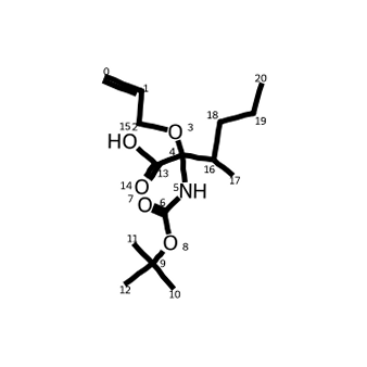 C=CCOC(NC(=O)OC(C)(C)C)(C(=O)O)C(C)CCC